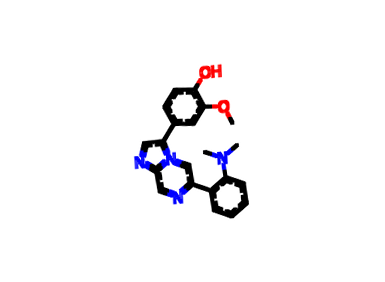 COc1cc(-c2cnc3cnc(-c4ccccc4N(C)C)cn23)ccc1O